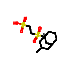 CC1CC2CCC[C@](S(=O)(=O)CCS(=O)(=O)O)(C1)C2